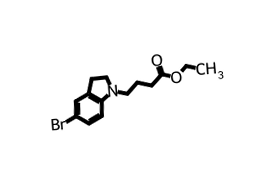 CCOC(=O)CCCN1CCc2cc(Br)ccc21